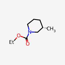 CCOC(=O)N1CCC[C@H](C)C1